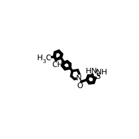 Cc1cccc(-c2ccc(C3CCN(C(=O)c4ccc5c(c4)NNS5)CC3)cc2)c1C